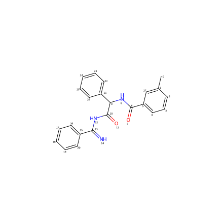 Cc1cccc(C(=O)NC(C(=O)NC(=N)c2ccccc2)c2ccccc2)c1